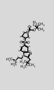 CN(C)CCn1c(CC(C)(C)C)nc2cc(S(=O)(=O)C3CCN(C(=O)OC(C)(C)C)C3)ccc21